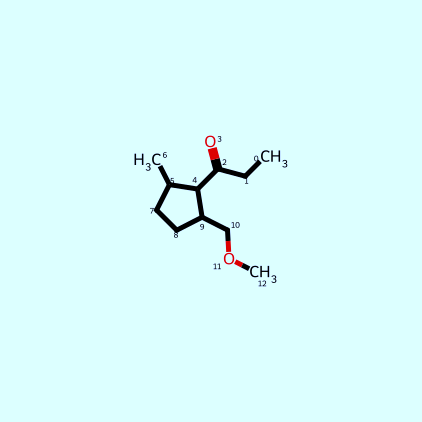 CCC(=O)C1C(C)CCC1COC